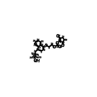 CC(C)(Cc1ccc(SCCOC(=O)ON2C(=O)CCC2=O)c2cccnc12)[Si](C)(C)O